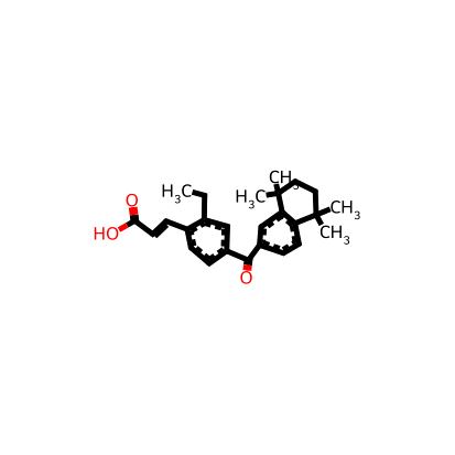 CCc1cc(C(=O)c2ccc3c(c2)C(C)(C)CCC3(C)C)ccc1/C=C/C(=O)O